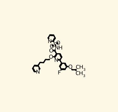 CC(C)COc1cc(F)cc(-c2ccc(C(=O)NS(=O)(=O)c3ccccn3)c(OCCCCc3cccnc3)n2)c1